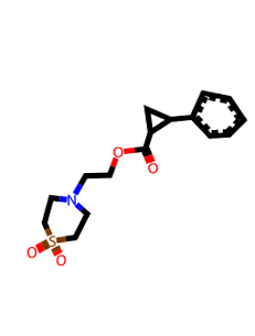 O=C(OCCN1CCS(=O)(=O)CC1)C1CC1c1ccccc1